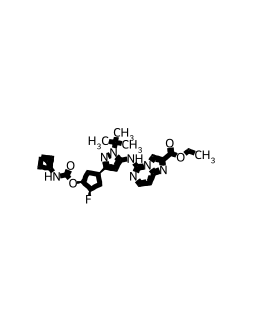 CCOC(=O)c1cn2c(Nc3cc([C@H]4C[C@@H](F)[C@@H](OC(=O)NC56CC(C5)C6)C4)nn3C(C)(C)C)nccc2n1